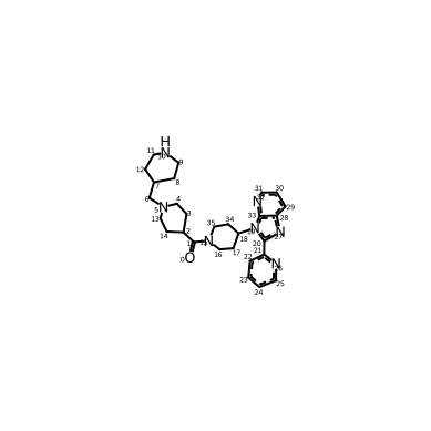 O=C(C1CCN(CC2CCNCC2)CC1)N1CCC(n2c(-c3ccccn3)nc3cccnc32)CC1